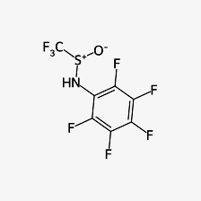 [O-][S+](Nc1c(F)c(F)c(F)c(F)c1F)C(F)(F)F